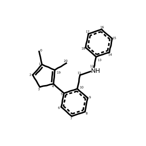 CC1=CCC(c2ccccc2CNc2ccccc2)=C1C